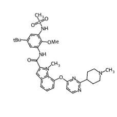 COc1c(NC(=O)c2cc3cccc(Oc4ccnc(C5CCN(C)CC5)n4)c3n2C)cc(C(C)(C)C)cc1NS(C)(=O)=O